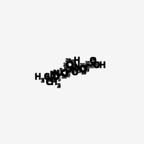 CN(C)c1ccc(-c2ccc(CC3(C(=O)Nc4cccc(/C=C/C(=O)O)c4)CCCCC3)cc2)nn1